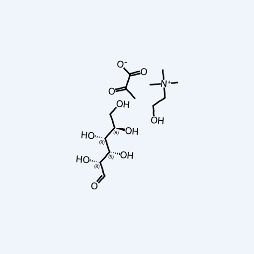 CC(=O)C(=O)[O-].C[N+](C)(C)CCO.O=C[C@H](O)[C@@H](O)[C@H](O)[C@H](O)CO